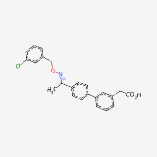 C/C(=N\OCc1cccc(Cl)c1)c1ccc(-c2cccc(CC(=O)O)c2)cc1